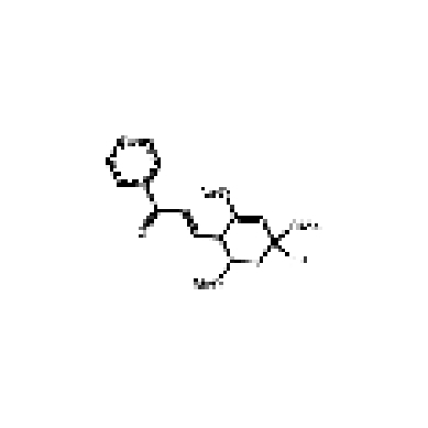 COC1=CC(O)(OC)CC(OC)C1C=CC(=O)c1ccccc1